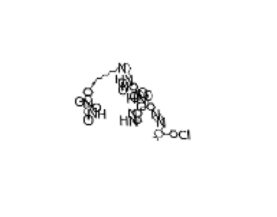 CC1(C)CCC(CN2CCN(c3ccc(C(=O)NS(=O)(=O)c4ccc(NCC5CCCN(CCCCCCCC#Cc6ccc7c(c6)CN(C6CCC(=O)NC6=O)C7=O)C5)c([N+](=O)[O-])c4)c(Oc4cnc5[nH]ccc5c4)c3)CC2)=C(c2ccc(Cl)cc2)C1